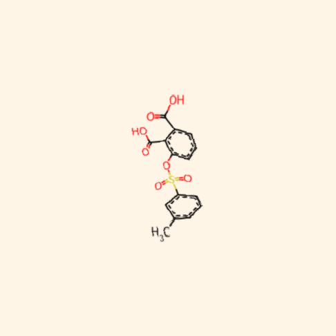 Cc1cccc(S(=O)(=O)Oc2cccc(C(=O)O)c2C(=O)O)c1